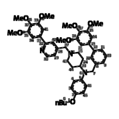 CCCCOc1ccc(N(Cc2cccc(-c3cc(OC)c(OC)c(OC)c3)c2)C2CCN(Cc3ccnc(-c4cc(OC)c(OC)c(OC)c4)c3)CC2)cc1